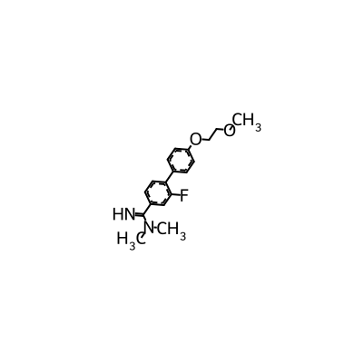 COCCOc1ccc(-c2ccc(C(=N)N(C)C)cc2F)cc1